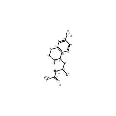 CCC(CC1NCCc2cc(C(F)(F)F)ccc21)NC(=O)C(F)(F)F